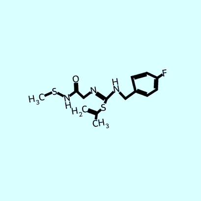 C=C(C)S/C(=N\CC(=O)NSC)NCc1ccc(F)cc1